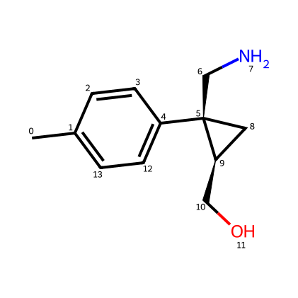 Cc1ccc([C@]2(CN)C[C@H]2CO)cc1